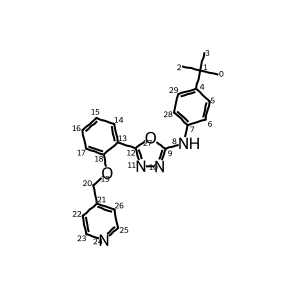 CC(C)(C)c1ccc(Nc2nnc(-c3ccccc3OCc3ccncc3)o2)cc1